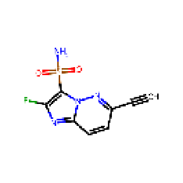 C#Cc1ccc2nc(F)c(S(N)(=O)=O)n2n1